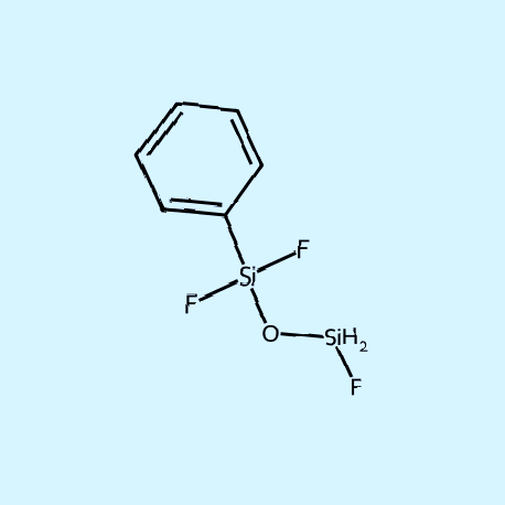 F[SiH2]O[Si](F)(F)c1ccccc1